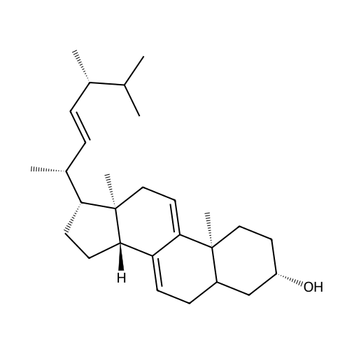 CC(C)[C@@H](C)/C=C/[C@@H](C)[C@H]1CC[C@H]2C3=CCC4C[C@@H](O)CC[C@]4(C)C3=CC[C@]12C